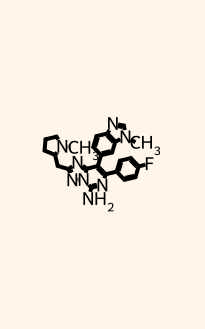 CN1CCCC1Cc1nc2c(-c3ccc4ncn(C)c4c3)c(-c3ccc(F)cc3)nc(N)n2n1